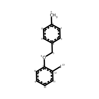 Cc1ccc(COc2ccccc2I)cc1